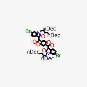 CCCCCCCCCCCCC(CCCCCCCCCC)CN1C(=O)C(=C2C(=O)Oc3cc4c(cc32)OC(=O)C4=C2C(=O)N(CC(CCCCCCCCCC)CCCCCCCCCCCC)c3cc(Br)ccc32)c2ccc(Br)cc21